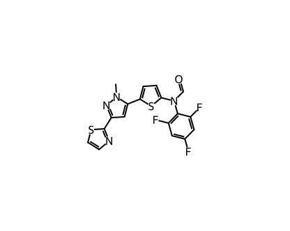 Cn1nc(-c2nccs2)cc1-c1ccc(N(C=O)c2c(F)cc(F)cc2F)s1